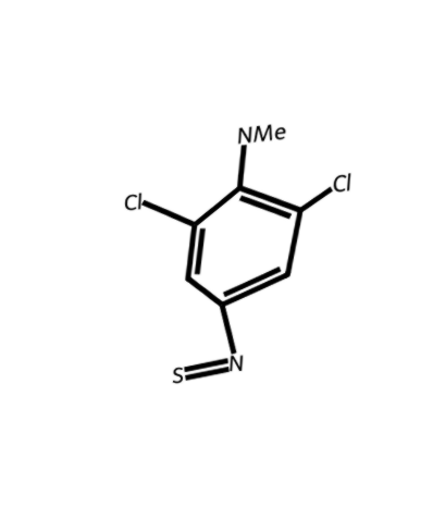 CNc1c(Cl)cc(N=S)cc1Cl